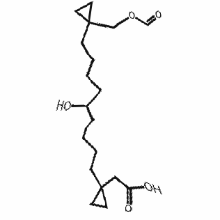 O=COCC1(CCCCC(O)CCCCC2(CC(=O)O)CC2)CC1